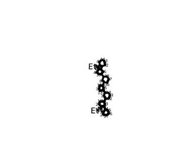 CCn1c2c(c3cc(C4C=C(c5cccc(C6C=C(c7ccc8c(c7)c7ccccc7n8CC)C=CC6)c5)C=CC4)ccc31)C=CCC2